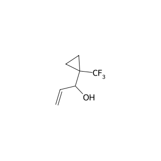 C=CC(O)C1(C(F)(F)F)CC1